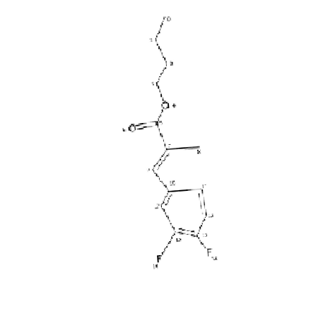 CCCCOC(=O)/C(C)=C/c1ccc(F)c(F)c1